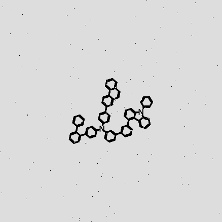 c1ccc(-c2ccccc2-c2ccc(N(c3ccc(-c4ccc5c(ccc6ccccc65)c4)cc3)c3cccc(-c4cccc(-c5cccc6c5c5ccccc5n6-c5ccccc5)c4)c3)cc2)cc1